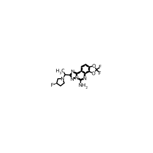 CC(c1nc2c3ccc4c(c3nc(N)n2n1)OC(F)(F)O4)N1CC[C@@H](F)C1